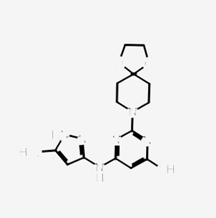 Cc1cc(Nc2cc(C)[nH]n2)nc(N2CCC3(CC2)OCCO3)n1